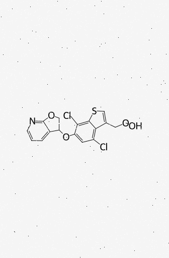 OOCc1csc2c(Cl)c(OC3COc4ncccc43)cc(Cl)c12